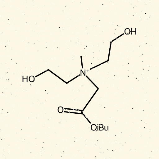 CC(C)COC(=O)C[N+](C)(CCO)CCO